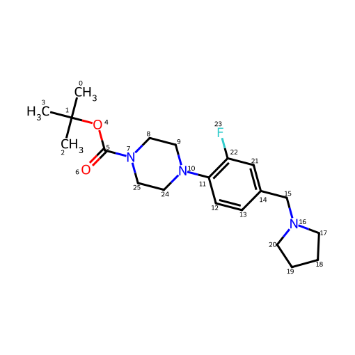 CC(C)(C)OC(=O)N1CCN(c2ccc(CN3CCCC3)cc2F)CC1